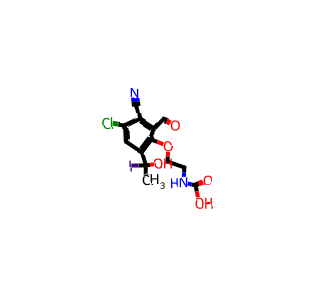 CC(O)(I)c1cc(Cl)c(C#N)c(C=O)c1OCCNC(=O)O